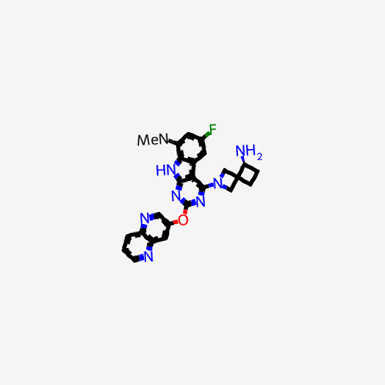 CNc1cc(F)cc2c1[nH]c1nc(Oc3cnc4cccnc4c3)nc(N3CC4(CC[C@@H]4N)C3)c12